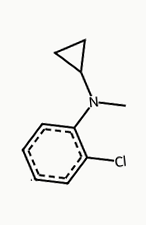 CN(c1cc[c]cc1Cl)C1CC1